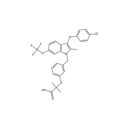 Cc1c(Oc2ccc(Cl)cc2)c2ccc(OC(F)(F)F)cc2n1Cc1cccc(OC(C)(C)C(=O)O)c1